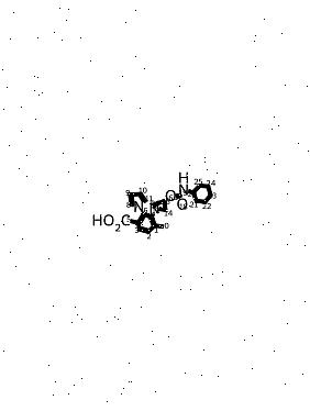 Cc1ccc(C(=O)O)c(-n2cccc2)c1N1CC(OC(=O)NC2CCCCC2)C1